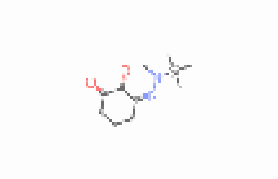 CN(/N=C1/CCCC(=O)C1=O)[Si](C)(C)C